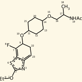 CCOc1nc2c(s1)=C(F)C(OC1CCC(OCC(C)NC(C)=O)CC1)CC=2